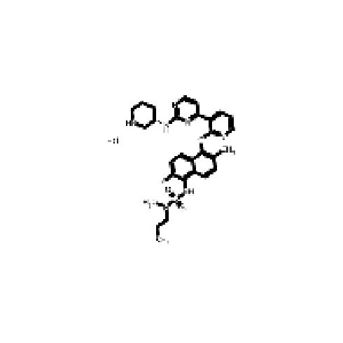 CCCN(C)S(=O)(=O)Nc1c(F)ccc2c(Oc3ncccc3-c3ccnc(N[C@H]4CCCNC4)n3)c(C)ccc12.Cl